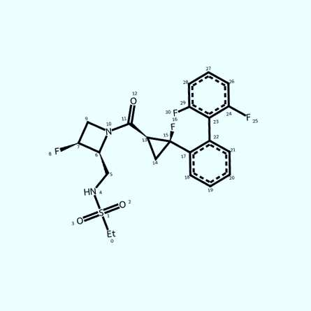 CCS(=O)(=O)NC[C@H]1[C@@H](F)CN1C(=O)[C@@H]1C[C@@]1(F)c1ccccc1-c1c(F)cccc1F